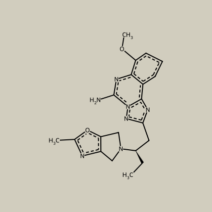 CC[C@H](Cc1nc2c3cccc(OC)c3nc(N)n2n1)N1Cc2nc(C)oc2C1